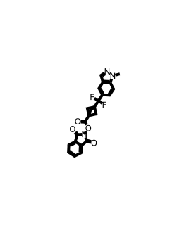 Cn1ncc2cc(C(F)(F)C34CC(C(=O)ON5C(=O)c6ccccc6C5=O)(C3)C4)ccc21